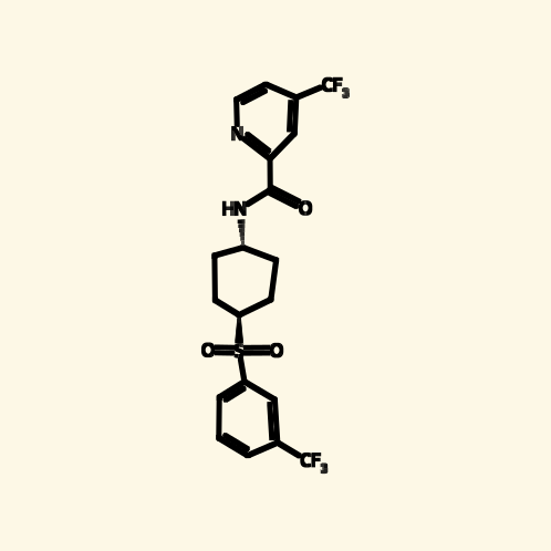 O=C(N[C@H]1CC[C@H](S(=O)(=O)c2cccc(C(F)(F)F)c2)CC1)c1cc(C(F)(F)F)ccn1